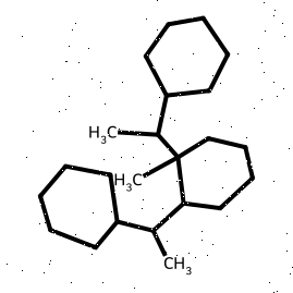 CC(C1CCCCC1)C1CCCCC1(C)C(C)C1CCCCC1